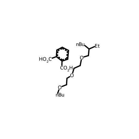 CCCCOCCOCCOCC(CC)CCCC.O=C(O)c1ccccc1C(=O)O